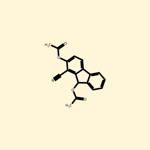 CC(=O)Oc1ccc2c(c1C#N)C(OC(C)=O)c1ccccc1-2